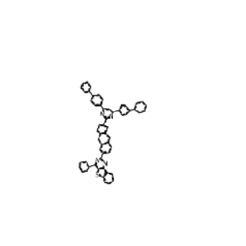 c1ccc(-c2ccc(-c3cc(-c4ccc(-c5ccccc5)cc4)nc(-c4ccc5cc6cc(-c7nc(-c8ccccc8)c8sc9ccccc9c8n7)ccc6cc5c4)n3)cc2)cc1